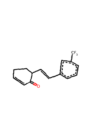 O=C1C=CCCC1/C=C/c1cccc(C(F)(F)F)c1